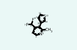 Cc1nccc(C(F)F)c1-c1ccsc1